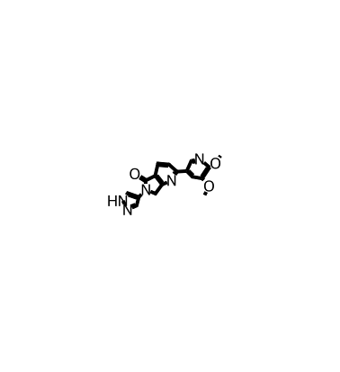 COc1cc(-c2ccc3c(n2)CN(c2cn[nH]c2)C3=O)cnc1OC